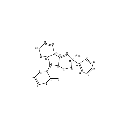 CC1CC=CC=C1N1C2CC[C@](C)(c3ccccc3)C=C2C2C=CCCC21